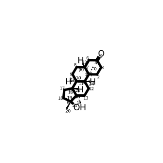 C[C@@]12CCC(=O)C[C@H]1CC[C@H]1[C@H]2CC[C@]2(C)[C@@H]1CC[C@@]2(C)O